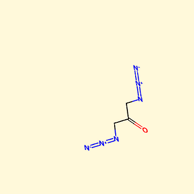 [N-]=[N+]=NCC(=O)CN=[N+]=[N-]